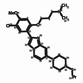 COc1cc(OCCCN(C)C)c(-c2cn3ccc(N4CCN(SC(C)C)CC4)cc3n2)cc1Cl